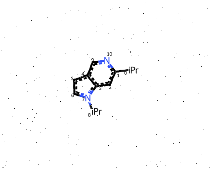 CC(C)c1cc2c(ccn2C(C)C)cn1